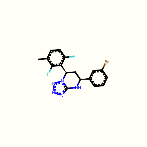 Cc1ccc(F)c([C@H]2C[C@@H](c3cccc(Br)c3)Nc3nnnn32)c1F